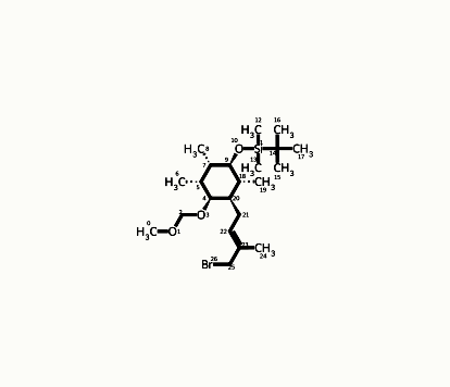 COCO[C@H]1[C@H](C)[C@H](C)[C@@H](O[Si](C)(C)C(C)(C)C)[C@H](C)[C@H]1C/C=C(\C)CBr